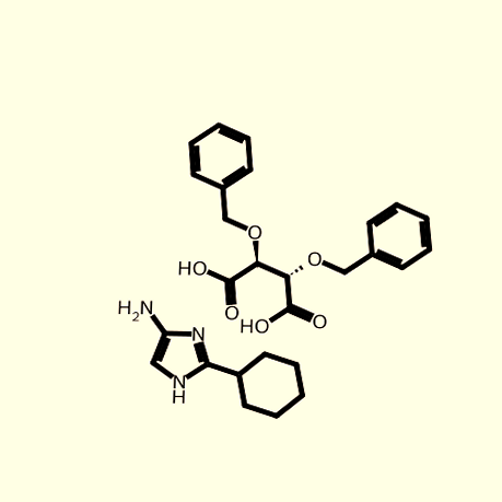 Nc1c[nH]c(C2CCCCC2)n1.O=C(O)[C@@H](OCc1ccccc1)[C@H](OCc1ccccc1)C(=O)O